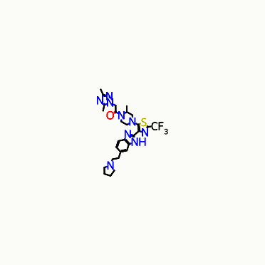 Cc1nc(C)n(CC(=O)N2CCN(c3sc(C(F)(F)F)nc3-c3nc4ccc(CCN5CCCC5)cc4[nH]3)CC2C)n1